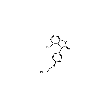 CC(C)(C)c1cccc2c1C(c1ccc(OCCO)cc1)C(=O)O2